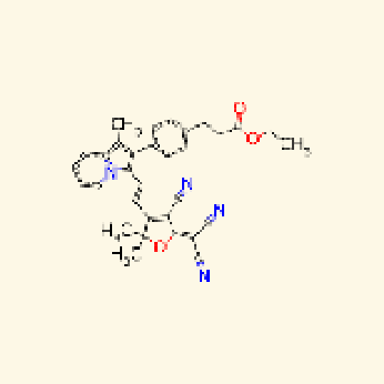 CCOC(=O)CCc1ccc(-c2c(C)c3ccccn3c2/C=C/C2=C(C#N)C(=C(C#N)C#N)OC2(C)C)cc1